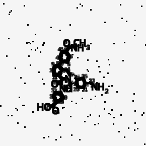 CNC(=O)c1ccc(-c2cccc3c2CCN(C(=O)[C@H]2CC[C@H](CN)CC2)C3C(=O)Nc2ccc(C(=O)O)cc2)cc1